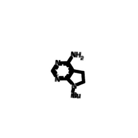 CCC(C)N1CCc2c(N)ncnc21